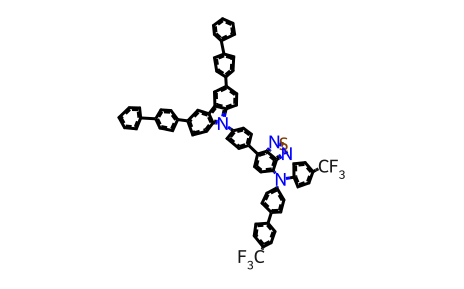 FC(F)(F)c1ccc(-c2ccc(N(c3ccc(C(F)(F)F)cc3)c3ccc(-c4ccc(-n5c6ccc(-c7ccc(-c8ccccc8)cc7)cc6c6cc(-c7ccc(-c8ccccc8)cc7)ccc65)cc4)c4nsnc34)cc2)cc1